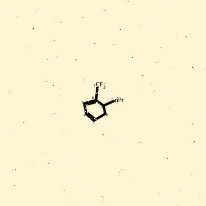 CCCC1CC=CC=C1C(F)(F)F